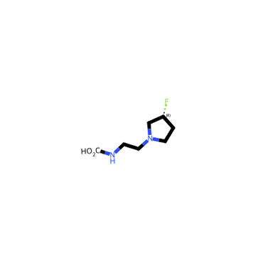 O=C(O)NCCN1CC[C@@H](F)C1